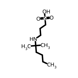 CCCCC(C)(C)NCCCS(=O)(=O)O